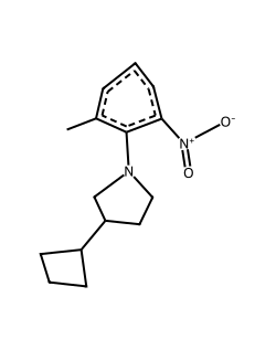 Cc1cccc([N+](=O)[O-])c1N1CCC(C2CCC2)C1